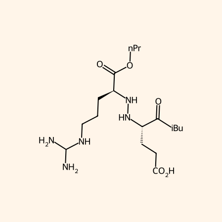 CCCOC(=O)[C@H](CCCNC(N)N)NN[C@@H](CCC(=O)O)C(=O)C(C)CC